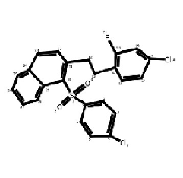 O=S(=O)(c1ccc(Cl)cc1)c1c(CCc2ccc(Cl)cc2F)ccc2ccccc12